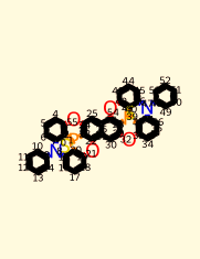 S=P12c3c4cccc3N(c3ccccc3)c3cccc(c31)Oc1c2c(cc2c3c5c(cc12)Oc1cccc2c1P5(=S)c1c(cccc1N2c1ccccc1)O3)O4